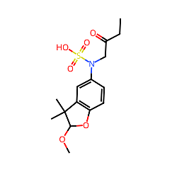 CCC(=O)CN(c1ccc2c(c1)C(C)(C)C(OC)O2)S(=O)(=O)O